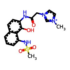 C[n+]1ccn(CC(=O)Nc2ccc3cccc(NS(C)(=O)=O)c3c2O)c1